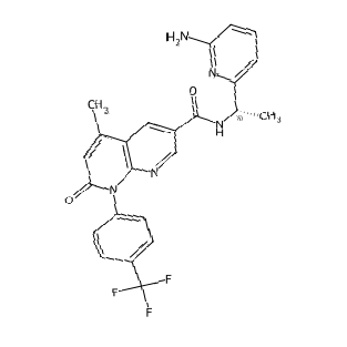 Cc1cc(=O)n(-c2ccc(C(F)(F)F)cc2)c2ncc(C(=O)N[C@@H](C)c3cccc(N)n3)cc12